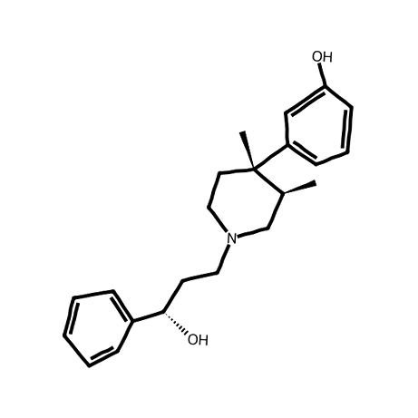 C[C@H]1CN(CC[C@H](O)c2ccccc2)CC[C@]1(C)c1cccc(O)c1